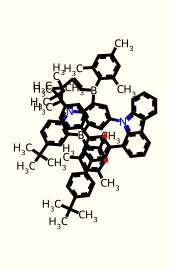 Cc1cc(C)c(B2/C=C/C(C)(C)C(C)N3c4ccc(C(C)(C)C)cc4B(c4c(C)cc(C)cc4C)c4cc(-n5c6ccccc6c6cccc(-c7cc(-c8ccc(C(C)(C)C)cc8)cc(-c8ccc(C(C)(C)C)cc8)c7)c65)cc2c43)c(C)c1